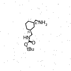 CC(C)(C)OC(=O)NC[C@H]1CCC[C@@H](CN)C1